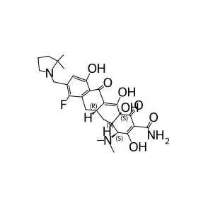 CN(C)[C@@H]1C(O)=C(C(N)=O)C(=O)[C@@]2(O)C(O)=C3C(=O)c4c(O)cc(CN5CCCC5(C)C)c(F)c4C[C@H]3C[C@@H]12